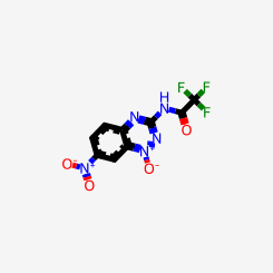 O=C(Nc1nc2ccc([N+](=O)[O-])cc2[n+]([O-])n1)C(F)(F)F